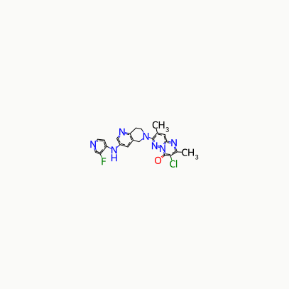 Cc1cc2nc(C)c(Cl)c(=O)n2nc1N1CCc2ncc(Nc3ccncc3F)cc2C1